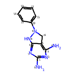 Nc1nc(N)c2c(n1)NN(c1ccccc1)C2